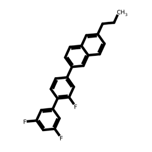 CCCc1ccc2cc(-c3ccc(-c4cc(F)cc(F)c4)c(F)c3)ccc2c1